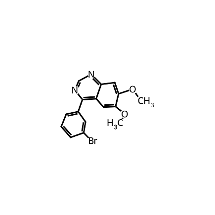 COc1cc2ncnc(-c3cccc(Br)c3)c2cc1OC